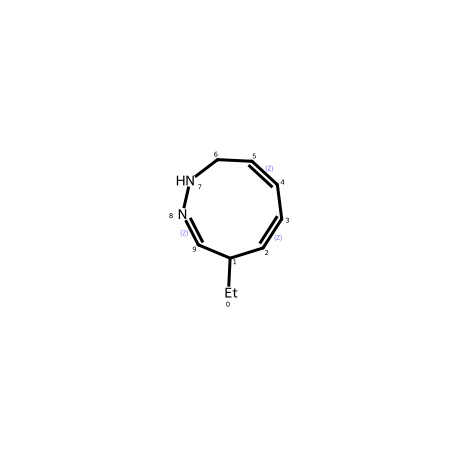 CCC1/C=C\C=C/CN/N=C\1